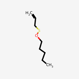 C=CCSOCCCCC